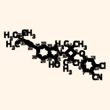 CC1(C)[C@H](Oc2ccc(C#N)c(Cl)c2)C(C)(C)[C@H]1n1cc2cc(C#C[Si](C)(C)C)ccc2c1O